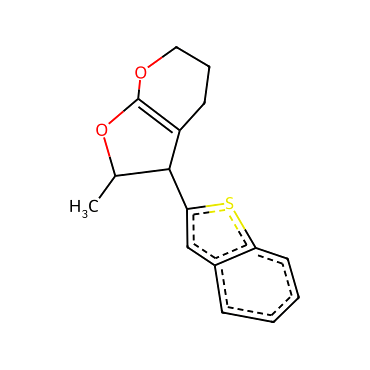 CC1OC2=C(CCCO2)C1c1cc2ccccc2s1